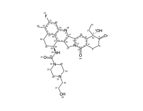 CC[C@@]1(O)C(=O)CCc2c1cc1n(c2=O)Cc2c-1nc1cc(F)c(C)c3c1c2[C@@H](NC(=O)N1CCN(CCO)CC1)CC3